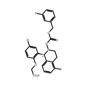 O=C(O)COc1ccc(Cl)cc1[C@@H]1c2cccc(F)c2CCN1OC(=O)OCc1cccc(F)c1